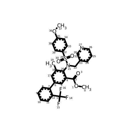 COC(=O)c1cc(-c2ccccc2C(F)(F)F)cc(C)c1N(Cc1cccnc1)S(=O)(=O)c1ccc(OC)cc1